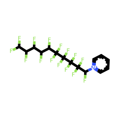 FC(F)C(F)C(F)C(F)C(F)C(F)(F)C(F)(F)C(F)(F)C(F)(F)C(F)[n+]1ccccc1